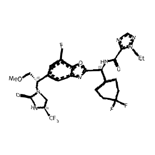 CCn1ncnc1C(=O)N[C@H](c1nc2cc([C@@H](COC)N3C[C@@H](C(F)(F)F)NC3=O)cc(F)c2o1)C1CCC(F)(F)CC1